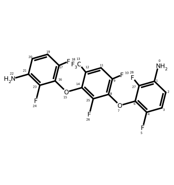 Nc1ccc(F)c(Oc2c(F)cc(C(F)(F)F)c(Oc3c(F)ccc(N)c3F)c2F)c1F